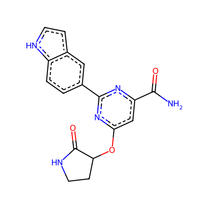 NC(=O)c1cc(OC2CCNC2=O)nc(-c2ccc3[nH]ccc3c2)n1